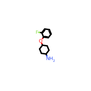 NC1CCC(Oc2ccccc2F)CC1